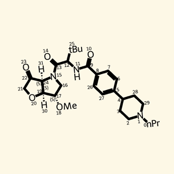 CCCN1CCC(c2ccc(C(=O)NC(C(=O)N3C[C@H](OC)[C@H]4OCC(=O)[C@H]43)C(C)(C)C)cc2)CC1